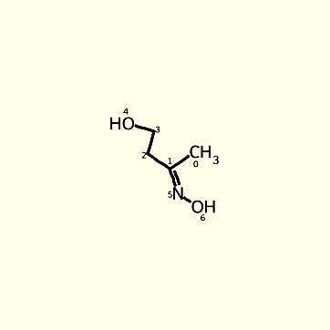 C/C(CCO)=N\O